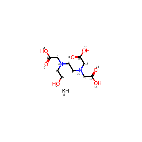 O=C(O)CN(CCO)CCN(CC(=O)O)CC(=O)O.[KH]